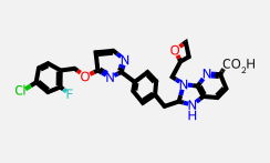 O=C(O)c1ccc2c(n1)N(CC1CCO1)C(Cc1ccc(-c3nccc(OCc4ccc(Cl)cc4F)n3)cc1)N2